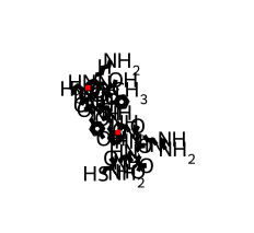 C[C@@H](O)[C@H](NC(=O)[C@H](CCCCN)NC(=O)[C@@H]1CCCN1C(=O)[C@@H](NC(=O)[C@H](Cc1ccc(O)cc1)NC(=O)[C@H](Cc1ccccc1)NC(=O)[C@H](Cc1ccccc1)NC(=O)CNC(=O)[C@H](CCCNC(=N)N)NC(=O)[C@H](CCC(=O)O)NC(=O)CNC(=O)[C@@H](N)CS)[C@@H](C)O)C(=O)O